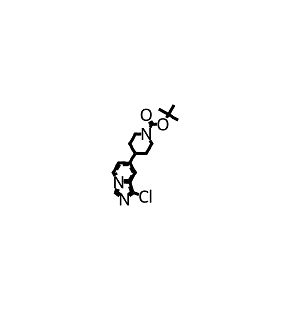 CC(C)(C)OC(=O)N1CCC(c2ccn3cnc(Cl)c3c2)CC1